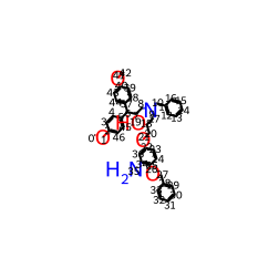 COc1ccc(C(CCN(Cc2ccccc2)C[C@H](O)COc2ccc(OCc3ccccc3)c(N)c2)c2ccc(OC)cc2)cc1